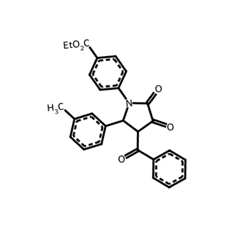 CCOC(=O)c1ccc(N2C(=O)C(=O)C(C(=O)c3ccccc3)C2c2cccc(C)c2)cc1